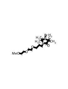 COCCOCCOCCCN1C(=O)C(C)(C)N(Br)C1(C)C